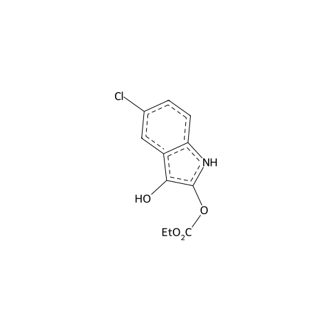 CCOC(=O)Oc1[nH]c2ccc(Cl)cc2c1O